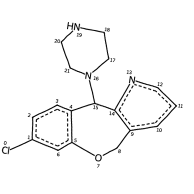 Clc1ccc2c(c1)OCc1cccnc1C2N1CCNCC1